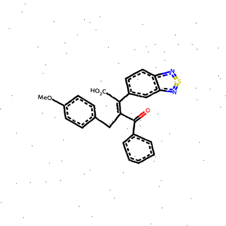 COc1ccc(CC(C(=O)c2ccccc2)=C(C(=O)O)c2ccc3nsnc3c2)cc1